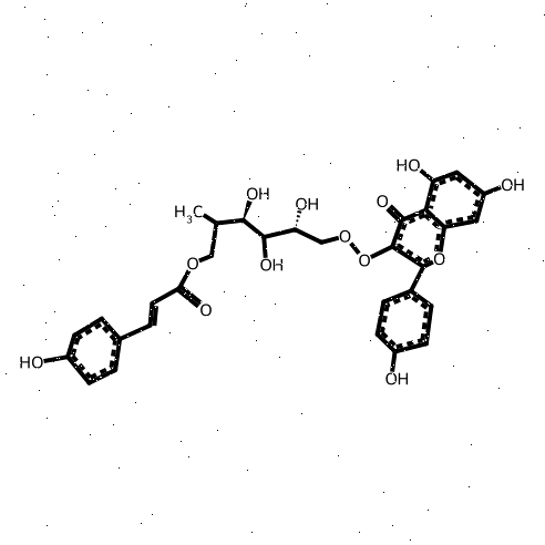 CC(COC(=O)/C=C/c1ccc(O)cc1)[C@@H](O)C(O)[C@H](O)COOc1c(-c2ccc(O)cc2)oc2cc(O)cc(O)c2c1=O